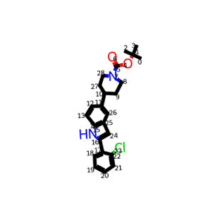 CC(C)(C)OC(=O)N1CCC(c2ccc3[nH]c(-c4ccccc4Cl)cc3c2)CC1